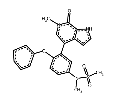 CN(c1ccc(Oc2ccccc2)c(-c2cn(C)c(=O)c3[nH]ccc23)c1)S(C)(=O)=O